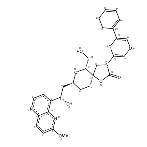 COc1ccc2nccc([C@@H](O)C[C@@H]3CC[C@@]4(CN(C5=COC=C(C6=CC=CCC6)O5)C(=O)O4)[C@@H](CO)O3)c2n1